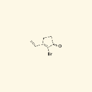 C=CC1=C(Br)C(=O)CC1